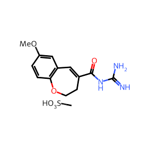 COc1ccc2c(c1)C=C(C(=O)NC(=N)N)CCO2.CS(=O)(=O)O